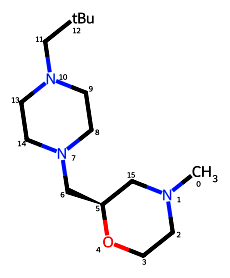 CN1CCO[C@@H](CN2CCN(CC(C)(C)C)CC2)C1